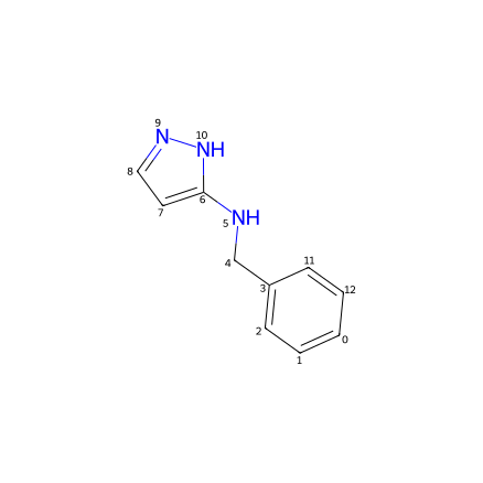 c1ccc(CNc2ccn[nH]2)cc1